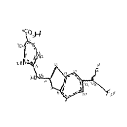 O=C(O)c1cnc(NC2Cc3ccc(C(F)F)cc3C2)nc1